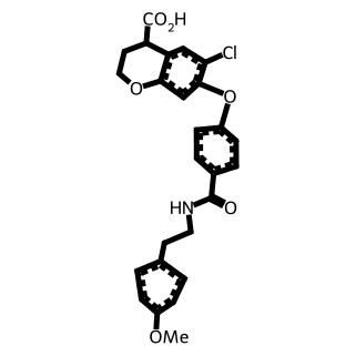 COc1ccc(CCNC(=O)c2ccc(Oc3cc4c(cc3Cl)C(C(=O)O)CCO4)cc2)cc1